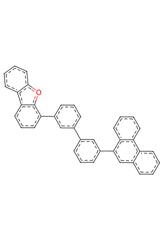 c1cc(-c2cccc(-c3cccc4c3oc3ccccc34)c2)cc(-c2cc3ccccc3c3ccccc23)c1